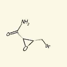 NC(=O)[C@H]1O[C@H]1CBr